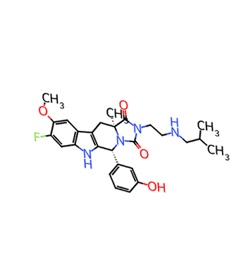 COc1cc2c3c([nH]c2cc1F)[C@@H](c1cccc(O)c1)N1C(=O)N(CCNCC(C)C)C(=O)[C@]1(C)C3